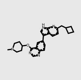 CN1CCC(Oc2ncnc3ccc(-c4c[nH]c5nc(CC6CCC6)ccc45)cc23)CC1